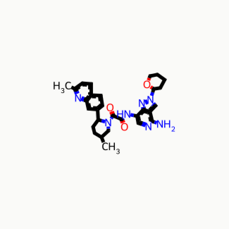 Cc1ccc2ccc(C3CCC(C)CN3C(=O)C(=O)Nc3cnc(N)c4cn(C5CCCCO5)nc34)cc2n1